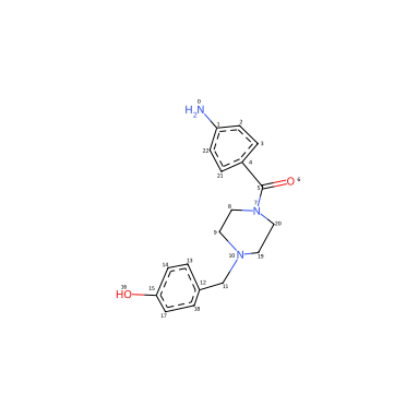 Nc1ccc(C(=O)N2CCN(Cc3ccc(O)cc3)CC2)cc1